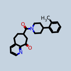 Cc1ccccc1C1CCN(C(=O)C2CCc3cccnc3C(=O)C2)CC1